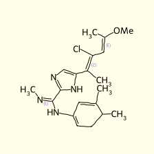 C/N=C(/NC1=CCC(C)C(C)=C1)c1ncc(/C(C)=C(Cl)/C=C(\C)OC)[nH]1